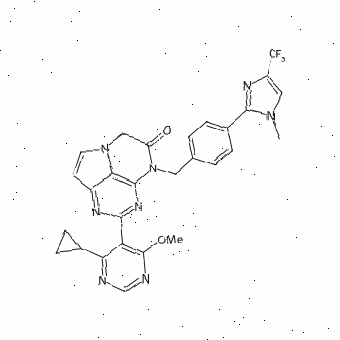 COc1ncnc(C2CC2)c1-c1nc2c3c(ccn3CC(=O)N2Cc2ccc(-c3nc(C(F)(F)F)cn3C)cc2)n1